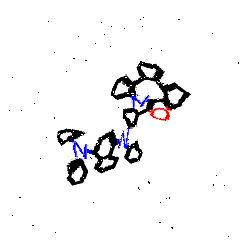 c1ccc(N(c2ccccc2)c2ccc(N(c3ccccc3)c3ccc4c(c3)c3oc5cccc6c7ccccc7c7ccccc7n4c3c56)c3ccccc23)cc1